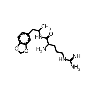 CC(Cc1ccc2c(c1)OCO2)NC(=O)C(N)CCCNC(=N)N